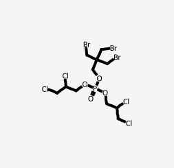 O=P(OCC(Cl)CCl)(OCC(Cl)CCl)OCC(CBr)(CBr)CBr